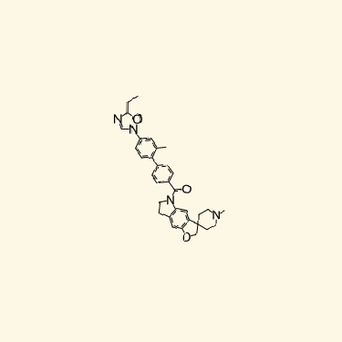 CCC1N=CN(c2ccc(-c3ccc(C(=O)N4CCc5cc6c(cc54)C4(CCN(C)CC4)CO6)cc3)c(C)c2)O1